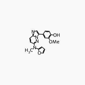 COc1cc(-c2cnc3ccc(N(C)c4ccco4)nn23)ccc1O